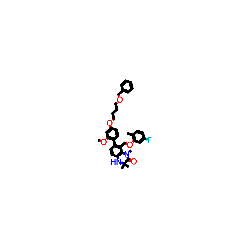 COc1cc(OCCCCOCc2ccccc2)ccc1-c1ccc2c(c1COc1cc(F)ccc1C)N(C)C(=O)C(C)(C)N2